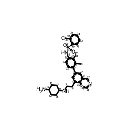 Cc1c(-c2cc(CCNC3CCC(N)CC3)c3ncncc3c2)ccc(NS(=O)(=O)c2ccccc2Cl)c1F